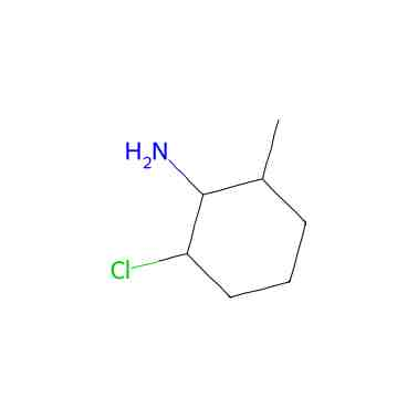 CC1CCCC(Cl)C1N